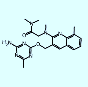 Cc1nc(N)nc(OCc2cc3cccc(C)c3nc2N(C)CC(=O)N(C)C)n1